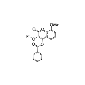 COc1cccc2c(OC(=O)c3ccccc3)c(OC(C)C)c(=O)oc12